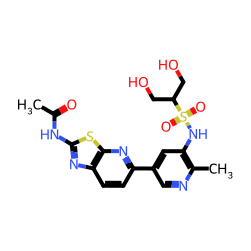 CC(=O)Nc1nc2ccc(-c3cnc(C)c(NS(=O)(=O)C(CO)CO)c3)nc2s1